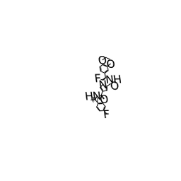 C[C@@H](NC(=O)c1cc2c(=O)[nH]c(-c3ccc4c(c3)OCCO4)c(F)n2c1)c1ccc(F)cc1